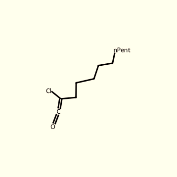 CCCCCCCCCCC(Cl)=C=O